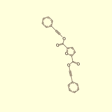 O=C(OC#Cc1ccccc1)c1ccc(C(=O)OC#Cc2ccccc2)o1